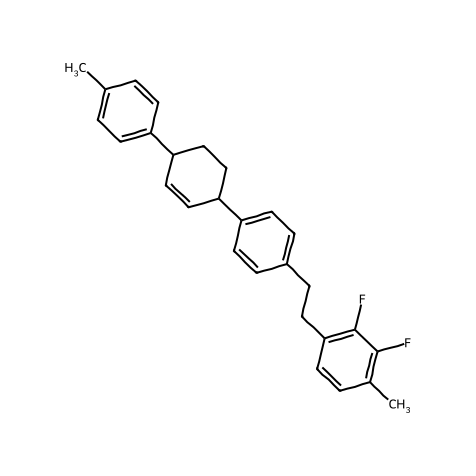 Cc1ccc(C2C=CC(c3ccc(CCc4ccc(C)c(F)c4F)cc3)CC2)cc1